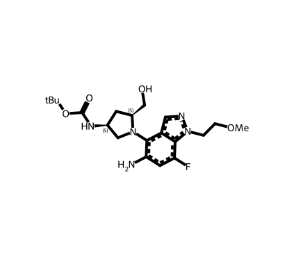 COCCn1ncc2c(N3C[C@@H](NC(=O)OC(C)(C)C)C[C@H]3CO)c(N)cc(F)c21